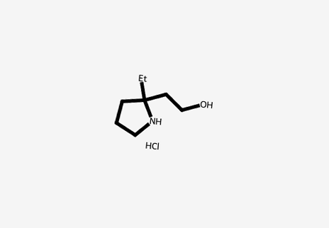 CCC1(CCO)CCCN1.Cl